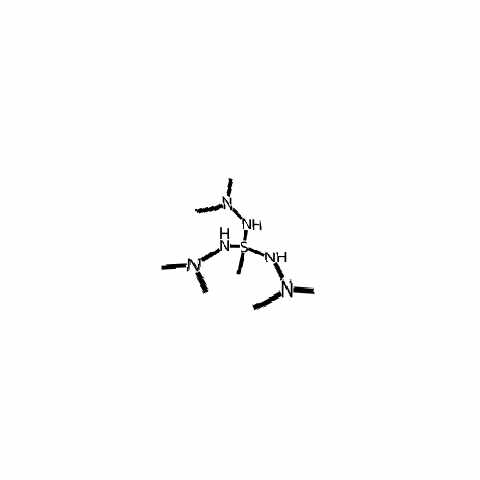 CN(C)NS(C)(NN(C)C)NN(C)C